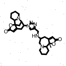 C[C@]12OC(=O)C=C1CC(NCc1cn(C3CC4=CC(=O)OC45CC3N3CCCCC35)nn1)CN1CCCCC12